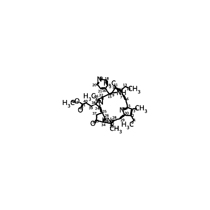 CCC1=C(C)c2cc3[nH]c(c(C)c3CC)c(-c3ccncc3)c3nc(c4c5[nH]c(cc1n2)c(C)c5C(=O)C4)[C@@H](CCC(=O)OC)[C@@H]3C